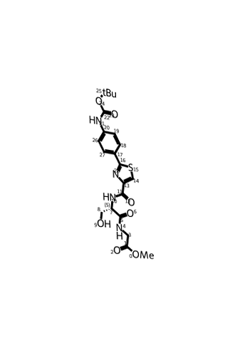 COC(=O)CNC(=O)[C@H](CO)NC(=O)c1csc(-c2ccc(NC(=O)OC(C)(C)C)cc2)n1